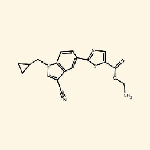 CCOC(=O)c1cnc(-c2ccc3c(c2)c(C#N)cn3CC2CC2)s1